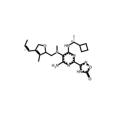 C/C=C\C1=C(C)C(CN(C)c2c(N)nc(-c3noc(=O)[nH]3)nc2N[C@H](C)C2CCC2)OC1